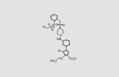 O=C(O)COc1c(C(=O)O)sc(-c2cccc(NC3CCN(S(=O)(=O)Cc4ccccc4NS(=O)(=O)CCl)CC3)c2)c1Cl